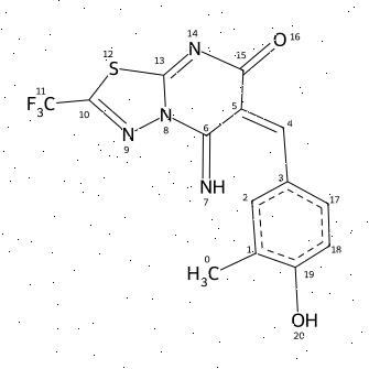 Cc1cc(C=C2C(=N)N3N=C(C(F)(F)F)SC3=NC2=O)ccc1O